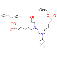 CCCCCCCCCCCOC(=O)CCCCCN(CCN(CCO)CCCCCC(=O)OCC(CCCCCCCC)CCCCCCCC)C1CC(F)(F)C1